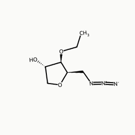 CCO[C@@H]1[C@@H](O)CO[C@@H]1CN=[N+]=[N-]